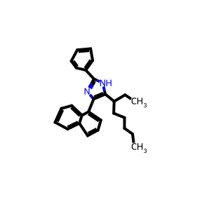 CCCCCC(CC)c1[nH]c(-c2ccccc2)nc1-c1cccc2ccccc12